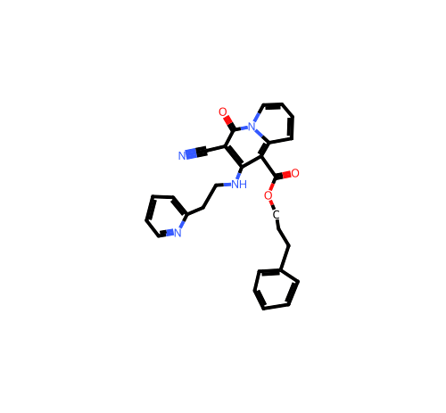 N#Cc1c(NCCc2ccccn2)c(C(=O)OCCCc2ccccc2)c2ccccn2c1=O